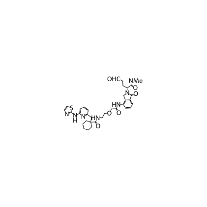 CNC(=O)C(CCC=O)N1Cc2c(NC(=O)COCCNC(=O)C3(Cc4cccc(Nc5nccs5)n4)CCCCC3)cccc2C1=O